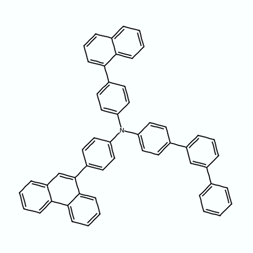 c1ccc(-c2cccc(-c3ccc(N(c4ccc(-c5cccc6ccccc56)cc4)c4ccc(-c5cc6ccccc6c6ccccc56)cc4)cc3)c2)cc1